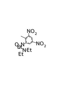 CCN(CC)CC.Cc1c([N+](=O)[O-])cc([N+](=O)[O-])cc1[N+](=O)[O-]